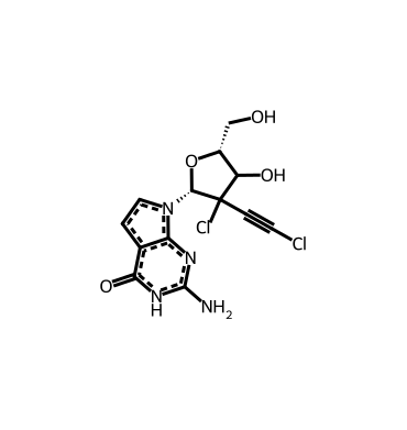 Nc1nc2c(ccn2[C@@H]2O[C@H](CO)C(O)C2(Cl)C#CCl)c(=O)[nH]1